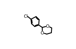 Clc1ccc(C2OCCCO2)cc1